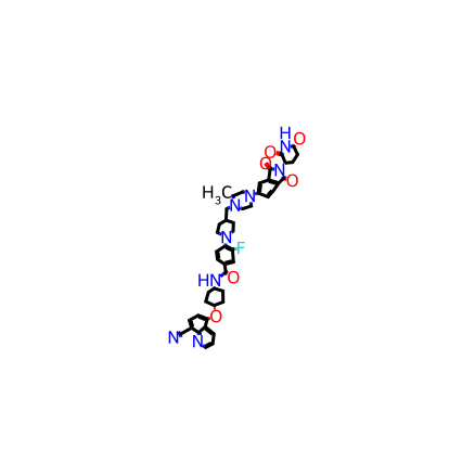 C[C@@H]1CN(c2ccc3c(c2)C(=O)N(C2CCC(=O)NC2=O)C3=O)CCN1CC1CCN(c2ccc(C(=O)N[C@H]3CC[C@H](Oc4ccc(C#N)c5ncccc45)CC3)cc2F)CC1